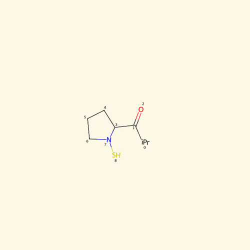 CC(C)C(=O)C1CCCN1S